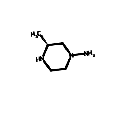 C[C@@H]1CN(N)CCN1